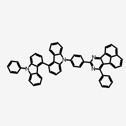 c1ccc(-c2nc(-c3ccc(-n4c5ccccc5c5c(-c6cccc7c6c6ccccc6n7-c6ccccc6)cccc54)cc3)nc3c2-c2cccc4cccc-3c24)cc1